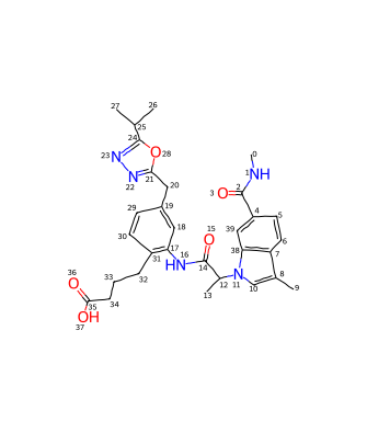 CNC(=O)c1ccc2c(C)cn(C(C)C(=O)Nc3cc(Cc4nnc(C(C)C)o4)ccc3CCCC(=O)O)c2c1